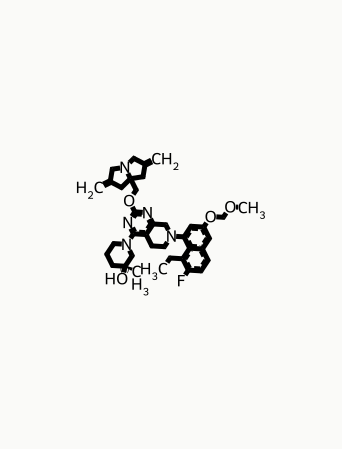 C=C1CN2CC(=C)CC2(COc2nc3c(c(N4CCC[C@@](C)(O)C4)n2)CCN(c2cc(OCOC)cc4ccc(F)c(CC)c24)C3)C1